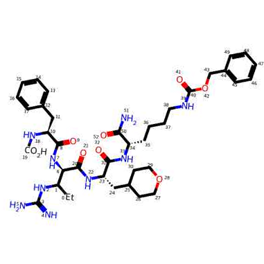 CCC(NC(=N)N)[C@@H](NC(=O)[C@H](Cc1ccccc1)NC(=O)O)C(=O)N[C@@H](CC1CCOCC1)C(=O)N[C@@H](CCCCNC(=O)OCc1ccccc1)C(N)=O